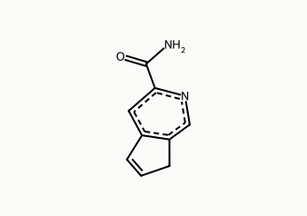 NC(=O)c1cc2c(cn1)CC=C2